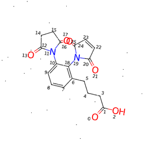 O=C(O)CCCc1cccc(N2C(=O)CCC2=O)c1N1C(=O)C=CC1=O